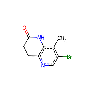 Cc1c(Br)cnc2c1NC(=O)CC2